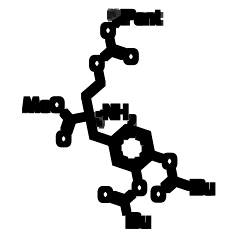 CCC[C@H](C)OC(=O)OCC[C@@](N)(Cc1ccc(OC(=O)C(C)CC)c(OC(=O)C(C)CC)c1)C(=O)OC